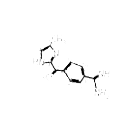 Cc1c[nH]c(C(=O)c2ccc(C(=N)N)cc2)n1